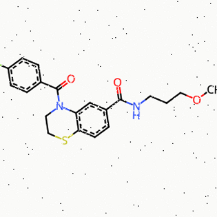 COCCCNC(=O)c1ccc2c(c1)N(C(=O)c1ccc(F)cc1)CCS2